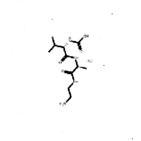 CC(C)[C@H](NC(=O)O)C(=O)N[C@@H](C)C(=O)NCCN.Cl